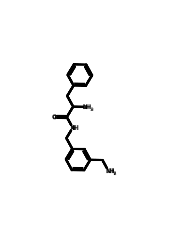 NCc1cccc(CNC(=O)C(N)Cc2ccccc2)c1